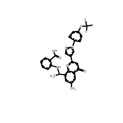 Cc1cc(C(C)Nc2ccccc2C(=O)O)c2oc(-c3cnn(-c4ccc(OC(F)(F)F)cc4)c3)cc(=O)c2c1